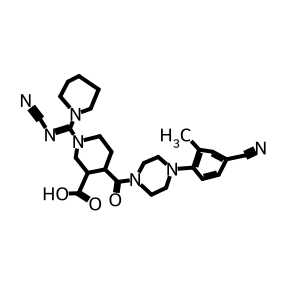 Cc1cc(C#N)ccc1N1CCN(C(=O)C2CCN(C(=NC#N)N3CCCCC3)CC2C(=O)O)CC1